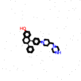 Oc1ccc2c(c1)CC[C@H](c1ccccc1)[C@@H]2c1ccc(N2CCC(CN3CCNCC3)CC2)cc1